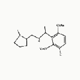 COc1ccc(Cl)c(OC)c1C(C)NCC1CCCN1C